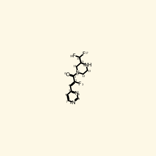 O=C(C(F)=Cc1ccncn1)N1CCNC(C(F)F)C1